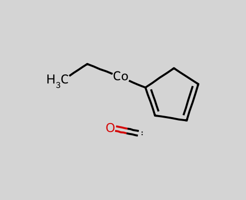 C[CH2][Co][C]1=CC=CC1.[C]=O